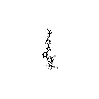 BC(B)(B)N=S1(=O)C[C@@](C)(c2cc(-c3cc(-c4ncc(OCC(F)(F)C(F)F)cn4)no3)ccc2F)N=C(N)C1(C)C